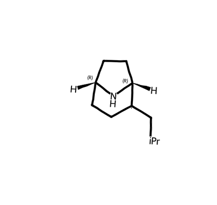 CC(C)C[C]1CC[C@@H]2CC[C@H]1N2